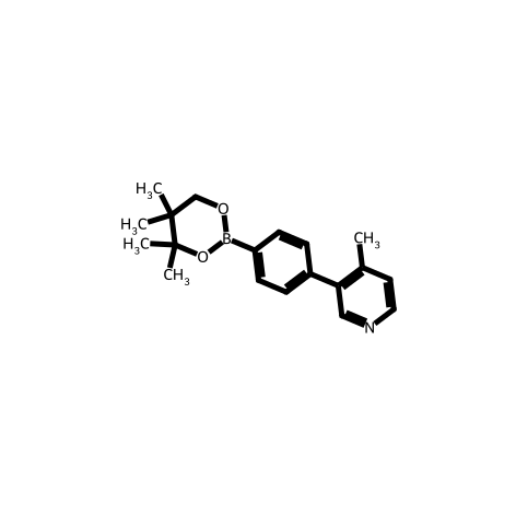 Cc1ccncc1-c1ccc(B2OCC(C)(C)C(C)(C)O2)cc1